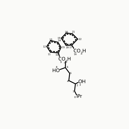 CC(C)CC(O)CCC(C)O.O=C(O)c1ccccc1.O=C(O)c1ccccc1